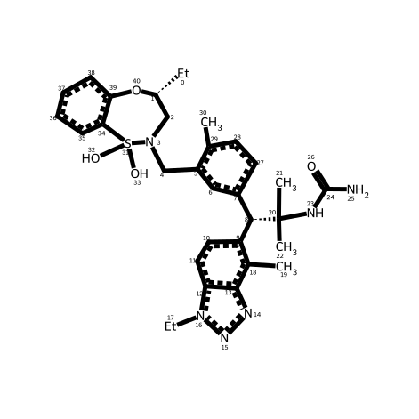 CC[C@@H]1CN(Cc2cc([C@@H](c3ccc4c(nnn4CC)c3C)C(C)(C)NC(N)=O)ccc2C)S(O)(O)c2ccccc2O1